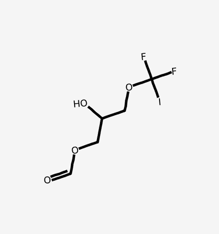 O=COCC(O)COC(F)(F)I